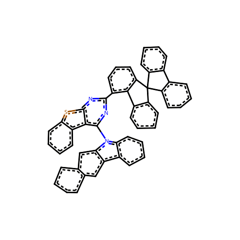 c1ccc2c(c1)-c1ccccc1C21c2ccccc2-c2c(-c3nc(-n4c5ccccc5c5cc6ccccc6cc54)c4c(n3)sc3ccccc34)cccc21